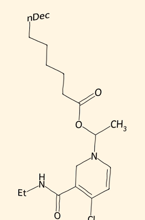 CCCCCCCCCCCCCCCC(=O)OC(C)N1C=CC(Cl)=C(C(=O)NCC)C1